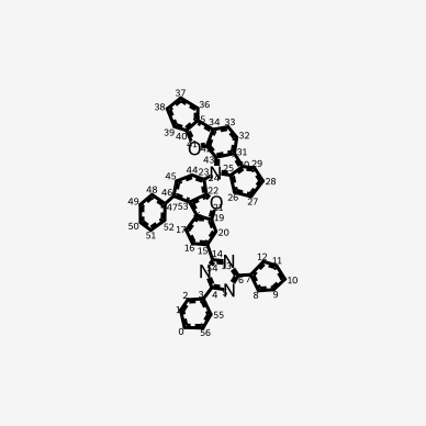 c1ccc(-c2nc(-c3ccccc3)nc(-c3ccc4c(c3)oc3c(-n5c6ccccc6c6ccc7c8ccccc8oc7c65)ccc(-c5ccccc5)c34)n2)cc1